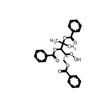 CC(C)(OC(=O)c1ccccc1)C(OC(=O)c1ccccc1)[C@@H](COC(=O)c1ccccc1)OO